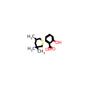 CC1CSCC(C)(C)C1.O=C(O)c1ccccc1O